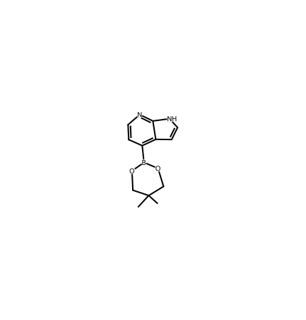 CC1(C)COB(c2ccnc3[nH]ccc23)OC1